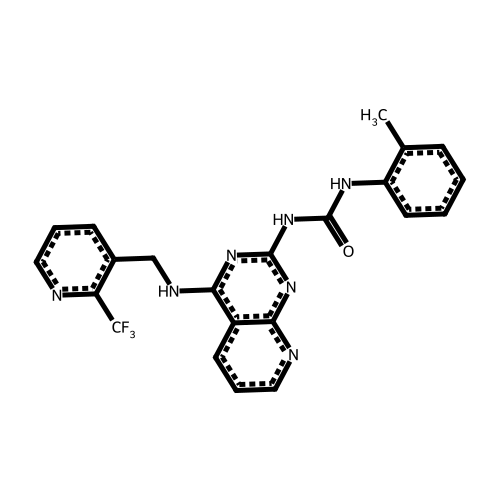 Cc1ccccc1NC(=O)Nc1nc(NCc2cccnc2C(F)(F)F)c2cccnc2n1